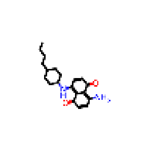 CCCCC1CCC(NC2=C3C(=O)C=CC(N)=C3C(=O)C=C2)CC1